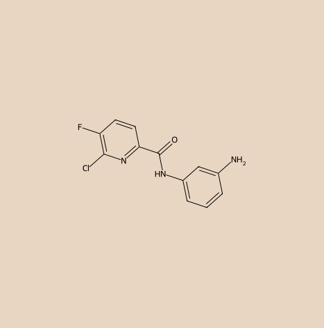 Nc1cccc(NC(=O)c2ccc(F)c(Cl)n2)c1